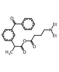 CCN(CC)CCCC(=O)OC(=O)C(C)c1cccc(C(=O)c2ccccc2)c1